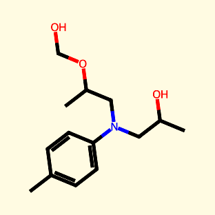 Cc1ccc(N(CC(C)O)CC(C)OCO)cc1